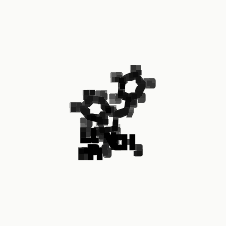 CCCN(C)C(CC)(CC=Cc1ccccc1)c1ccccc1